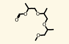 COCC(C)OCC(C)OCC(C)OC=O